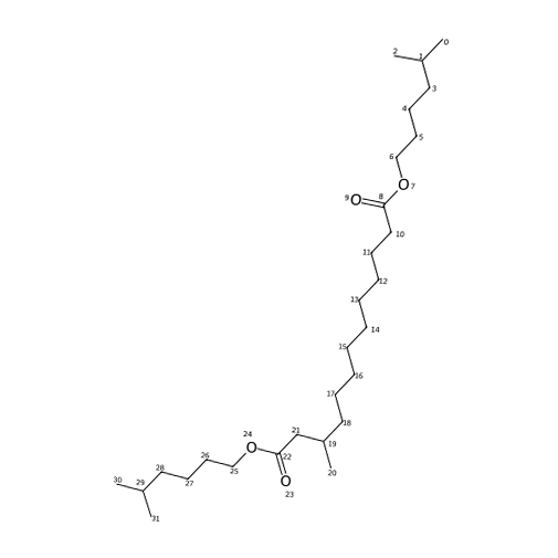 CC(C)CCCCOC(=O)CCCCCCCCCC(C)CC(=O)OCCCCC(C)C